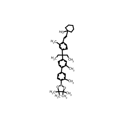 CCC(CC)(c1ccc(/C=C/C2(O)CCCCC2)c(C)c1)c1ccc(-c2ccc(B3OC(C)(C)C(C)(C)O3)c(C)c2)c(C)c1